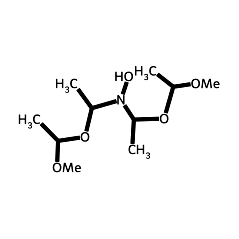 COC(C)OC(C)N(O)C(C)OC(C)OC